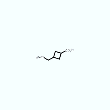 CCCCCCC1CC(C(=O)OCC)C1